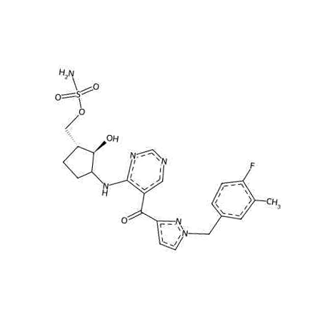 Cc1cc(Cn2ccc(C(=O)c3cncnc3NC3CC[C@H](COS(N)(=O)=O)[C@H]3O)n2)ccc1F